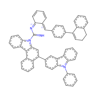 N=C(/N=C1/C=CC=C/C1=C\c1ccc(C2=CCCc3ccccc32)cc1)n1c2ccccc2c2c3ccccc3c(-c3ccc4c(c3)c3ccccc3n4-c3ccccc3)cc21